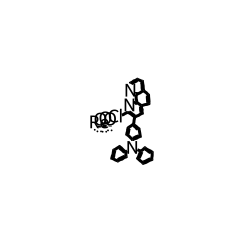 Clc1nc2c(ccc3cccnc32)cc1-c1ccc(N(c2ccccc2)c2ccccc2)cc1.[C]=O.[C]=O.[C]=O.[Re]